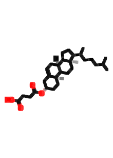 CC(C)CCCC(C)C1CCC2[C@@H]3CC=C4C[C@@H](OC(=O)CCC(=O)O)CC[C@]4(C)C3CC[C@]12C